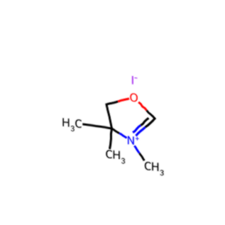 C[N+]1=COCC1(C)C.[I-]